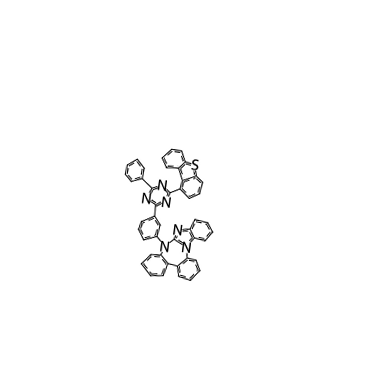 c1ccc(-c2nc(-c3cccc(N4c5ccccc5-c5ccccc5-n5c4nc4ccccc45)c3)nc(-c3cccc4sc5ccccc5c34)n2)cc1